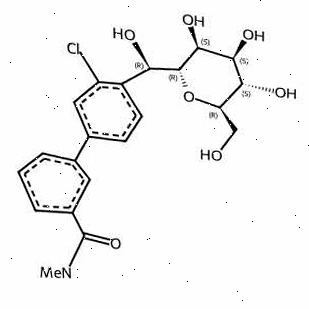 CNC(=O)c1cccc(-c2ccc([C@@H](O)[C@H]3O[C@H](CO)[C@@H](O)[C@H](O)[C@@H]3O)c(Cl)c2)c1